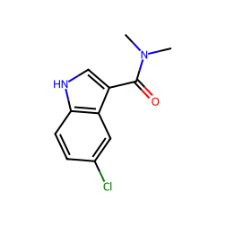 CN(C)C(=O)c1c[nH]c2ccc(Cl)cc12